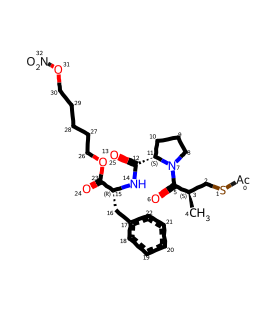 CC(=O)SC[C@@H](C)C(=O)N1CCC[C@H]1C(=O)N[C@H](Cc1ccccc1)C(=O)OCCCCCO[N+](=O)[O-]